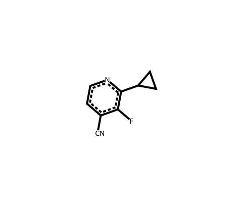 N#Cc1ccnc(C2CC2)c1F